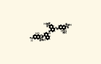 CNc1ccc2c(O)c(N=Nc3ccc(N=Nc4ccc(N=Nc5ccc6cc(S(=O)(=O)O)cc(S(=O)(=O)O)c6c5)c5ccc(S(=O)(=O)O)cc45)c4ccccc34)c(S(=O)(=O)O)cc2c1